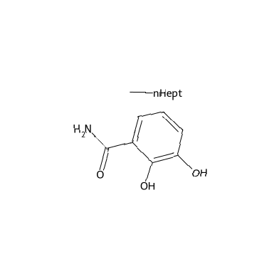 CCCCCCCC.NC(=O)c1cccc(O)c1O